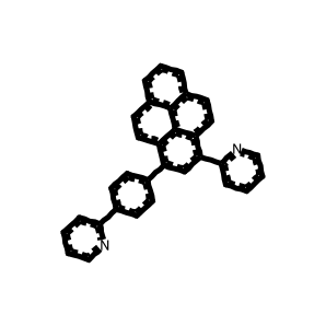 c1ccc(-c2ccc(-c3cc(-c4ccccn4)c4ccc5cccc6ccc3c4c65)cc2)nc1